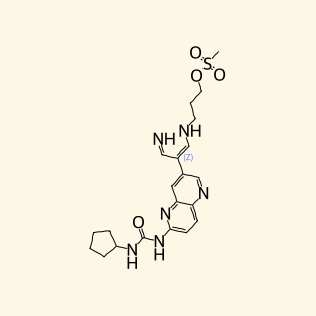 CS(=O)(=O)OCCCN/C=C(\C=N)c1cnc2ccc(NC(=O)NC3CCCC3)nc2c1